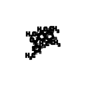 Cc1ccc(C(=O)c2cc3c(cc2C)C(C)(C)CCC3(C)C)s1